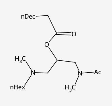 CCCCCCCCCCCC(=O)OC(CN(C)CCCCCC)CN(C)C(C)=O